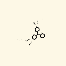 C=CN(CCOC(C)=O)c1ccc2c(-c3ccccc3C(=O)O)c3cc/c(=[N+](/CCNC(C)=O)CCOC(C)=O)cc-3oc2c1